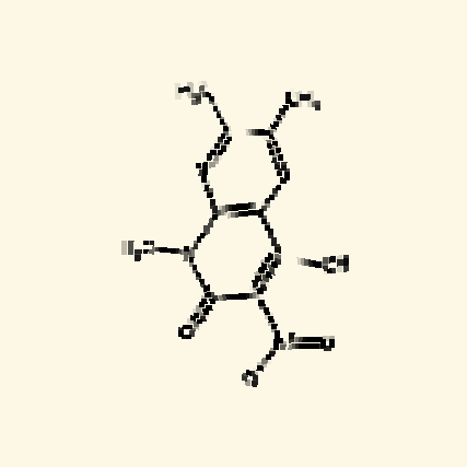 Cc1cc2c(O)c([N+](=O)[O-])c(=O)n(C)c2nc1C